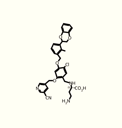 Cc1c(COc2cc(OCc3cncc(C#N)c3)c(CN[C@@H](CCN)C(=O)O)cc2Cl)cccc1C1COc2ccccc2O1